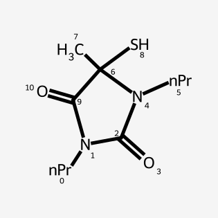 CCCN1C(=O)N(CCC)C(C)(S)C1=O